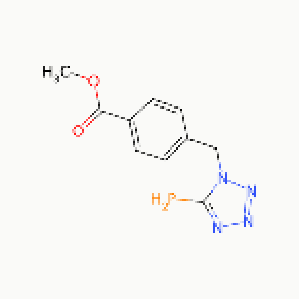 COC(=O)c1ccc(Cn2nnnc2P)cc1